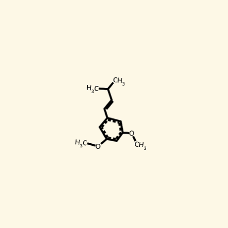 COc1cc(/C=C/C(C)C)cc(OC)c1